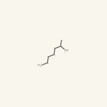 [CH2]C(O)CCCCN